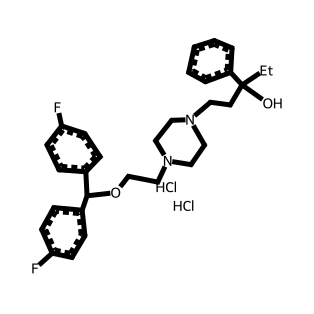 CCC(O)(CCN1CCN(CCOC(c2ccc(F)cc2)c2ccc(F)cc2)CC1)c1ccccc1.Cl.Cl